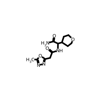 Cc1nnc(CC(=O)NC(C(N)=O)C2CCOCC2)o1